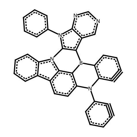 c1cccc(N2c3c#cccc3B3c4c(n(-c5ccccc5)c5ncncc45)-n4c5ccccc5c5ccc2c3c54)c#1